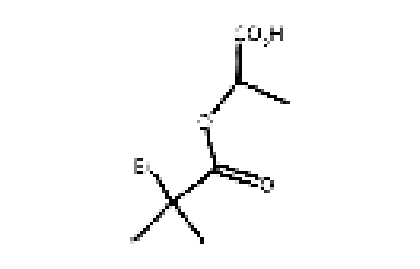 CCC(C)(C)C(=O)OC(C)C(=O)O